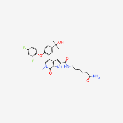 Cn1cc(-c2cc(C(C)(C)O)ccc2Oc2ccc(F)cc2F)c2cc(C(=O)NCCCCCC(N)=O)[nH]c2c1=O